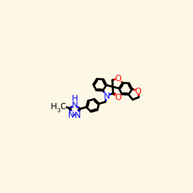 Cc1nnc(-c2ccc(CN3C(=O)C4(COc5cc6c(cc54)CCO6)c4ccccc43)cc2)[nH]1